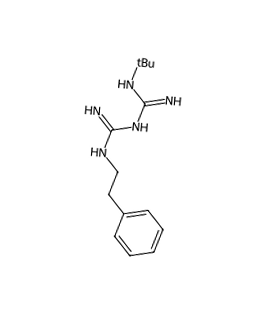 CC(C)(C)NC(=N)NC(=N)NCCc1ccccc1